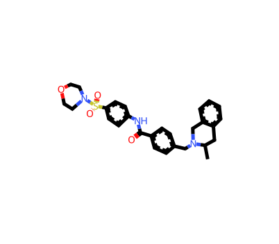 CC1Cc2ccccc2CN1Cc1ccc(C(=O)Nc2ccc(S(=O)(=O)N3CCOCC3)cc2)cc1